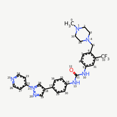 CN1CCN(Cc2ccc(NC(=O)Nc3ccc(-c4cnn(-c5ccncc5)c4)cc3)cc2C(F)(F)F)CC1